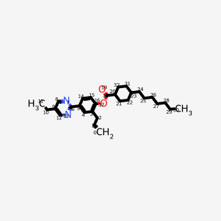 C=CCc1cc(-c2ncc(CC)cn2)ccc1OC(=O)C1CCC(CCCCCCC)CC1